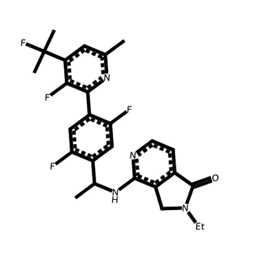 CCN1Cc2c(ccnc2NC(C)c2cc(F)c(-c3nc(C)cc(C(C)(C)F)c3F)cc2F)C1=O